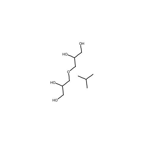 CC(C)C.OCC(O)COCC(O)CO